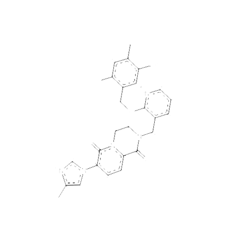 Cc1cn(-c2ccc3n(c2=O)CCN(Cc2cccnc2OCc2cc(F)c(C)cc2F)C3=O)cn1